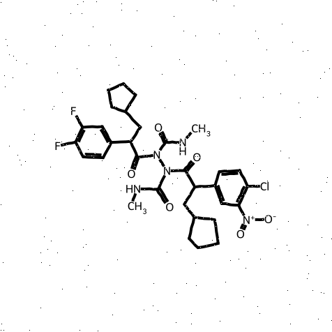 CNC(=O)N(C(=O)C(CC1CCCC1)c1ccc(F)c(F)c1)N(C(=O)NC)C(=O)C(CC1CCCC1)c1ccc(Cl)c([N+](=O)[O-])c1